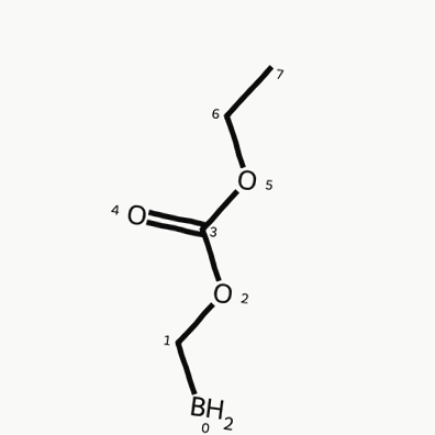 BCOC(=O)OCC